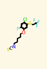 Fc1cc(Cl)c(SCC(F)(F)F)cc1OCCCCCN=C=S